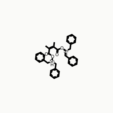 C/C(C(=O)[O][SnH]([CH2]c1ccccc1)[CH2]c1ccccc1)=C(\C)C(=O)[O][SnH]([CH2]c1ccccc1)[CH2]c1ccccc1